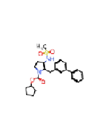 CS(=O)(=O)NC1CCN(C(=O)OC2CCCC2)C1Cc1cccc(-c2ccccc2)c1